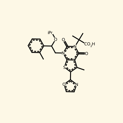 Cc1ccccc1C(Cn1c(=O)n(C(C)(C)C(=O)O)c(=O)c2c(C)c(-c3ncco3)sc21)OC(C)C